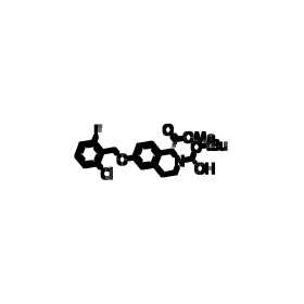 COC(=O)[C@H]1c2ccc(OCc3c(F)cccc3Cl)cc2CCN1[C@@H](O)OC(C)(C)C